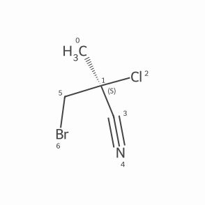 C[C@](Cl)(C#N)CBr